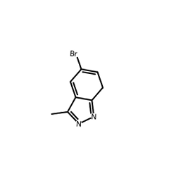 CC1=NN=C2CC=C(Br)C=C12